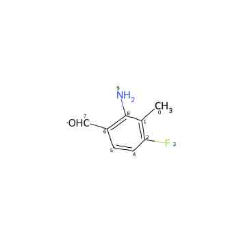 Cc1c(F)ccc([C]=O)c1N